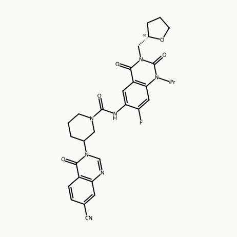 CC(C)n1c(=O)n(C[C@@H]2CCCO2)c(=O)c2cc(NC(=O)N3CCCC(n4cnc5cc(C#N)ccc5c4=O)C3)c(F)cc21